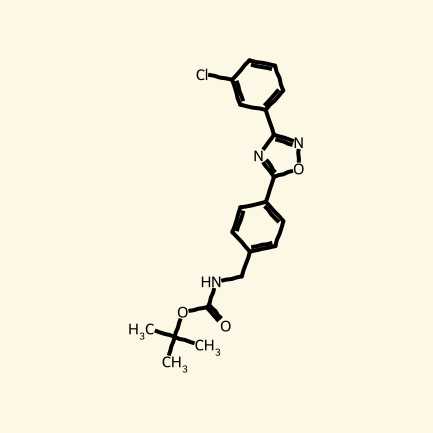 CC(C)(C)OC(=O)NCc1ccc(-c2nc(-c3cccc(Cl)c3)no2)cc1